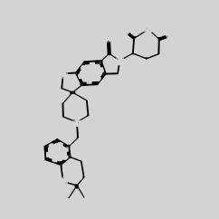 CC1(C)CCc2c(CN3CCC4(CC3)COc3cc5c(cc34)CN(C3CCC(=O)NC3=O)C5=O)cccc2O1